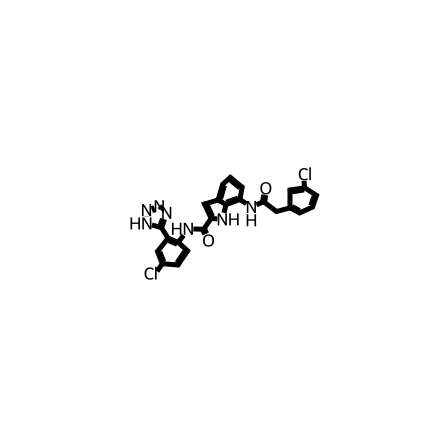 O=C(Cc1cccc(Cl)c1)Nc1cccc2cc(C(=O)Nc3ccc(Cl)cc3-c3nnn[nH]3)[nH]c12